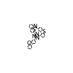 c1ccc(-c2nc(-c3ccc4c(c3)oc3ccccc34)nc(-c3cccc4sc5ccc(-c6nc7ccccc7s6)cc5c34)n2)cc1